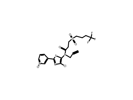 C#CCN(C(=O)CCS(=O)(=O)CCCC(F)(F)F)c1sc(-c2ccc[n+]([O-])c2)nc1Cl